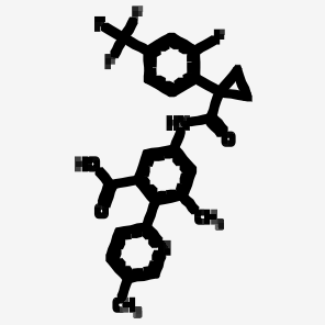 Cc1ccc(-c2c(C)cc(NC(=O)C3(c4ccc(C(F)(F)F)cc4F)CC3)cc2C(=O)O)nc1